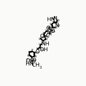 CNS(=O)(=O)c1cccc(OC[C@@H](O)CN[C@H]2COC3(CCN(S(=O)(=O)c4cnc5cn[nH]c5c4)CC3)C2)c1